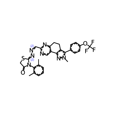 Cc1cccc(C)c1N1C(=O)CS/C1=N\N=C/c1ncc2c(n1)CCc1c-2nn(C)c1-c1ccc(OC(F)(F)F)cc1